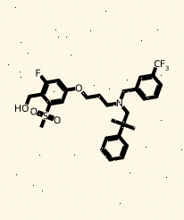 CC(C)(CN(CCCOc1cc(F)c(CO)c(S(C)(=O)=O)c1)Cc1cccc(C(F)(F)F)c1)c1ccccc1